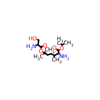 CC(C)OC(=O)[C@H](N)C(C)CCC(C)(C)OC(=O)C(N)CO